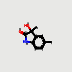 Cc1ccc2c(c1)C(C)(O)C(=O)N2